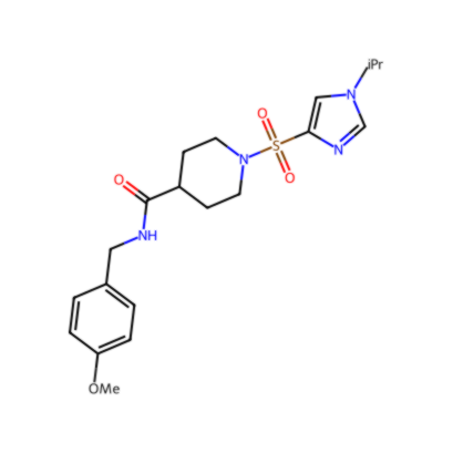 COc1ccc(CNC(=O)C2CCN(S(=O)(=O)c3cn(C(C)C)cn3)CC2)cc1